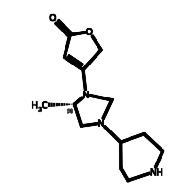 C[C@H]1CN(C2CCNCC2)CN1C1=CC(=O)OC1